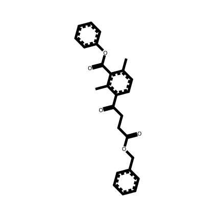 Cc1ccc(C(=O)CCC(=O)OCc2ccccc2)c(C)c1C(=O)Oc1ccccc1